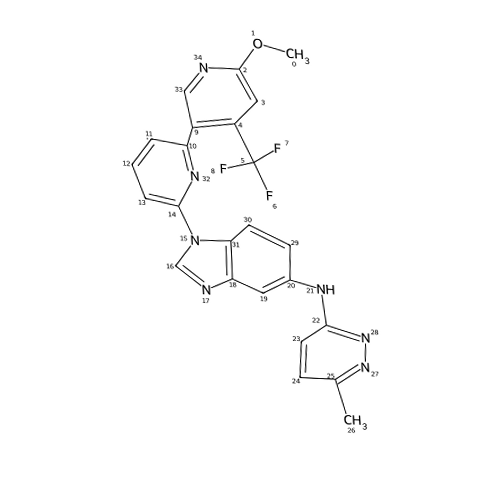 COc1cc(C(F)(F)F)c(-c2[c]ccc(-n3cnc4cc(Nc5ccc(C)nn5)ccc43)n2)cn1